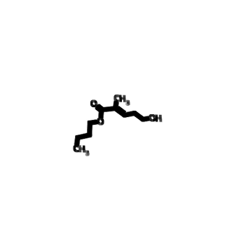 CCCCOC(=O)C(C)=CCCO